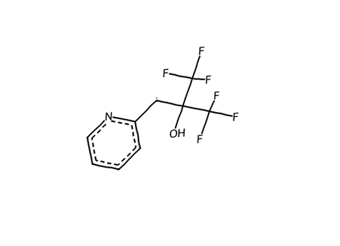 OC([CH]c1ccccn1)(C(F)(F)F)C(F)(F)F